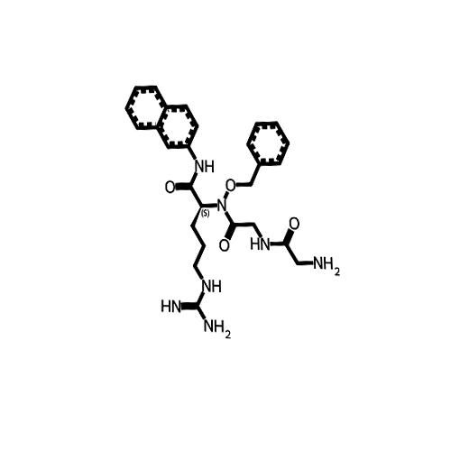 N=C(N)NCCC[C@@H](C(=O)Nc1ccc2ccccc2c1)N(OCc1ccccc1)C(=O)CNC(=O)CN